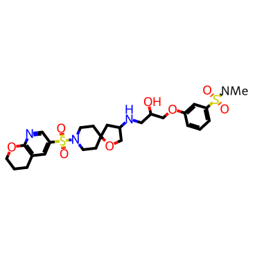 CNS(=O)(=O)c1cccc(OCC(O)CNC2COC3(CCN(S(=O)(=O)c4cnc5c(c4)CCCO5)CC3)C2)c1